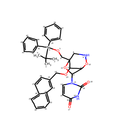 CC(C)(C)[Si](OCC12CNOC(C(n3ccc(=O)[nH]c3=O)O1)C2OCc1ccc2ccccc2c1)(c1ccccc1)c1ccccc1